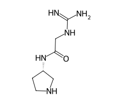 N=C(N)NCC(=O)N[C@H]1CCNC1